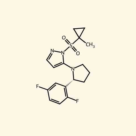 CC1(S(=O)(=O)n2nccc2N2CCC[C@@H]2c2cc(F)ccc2F)CC1